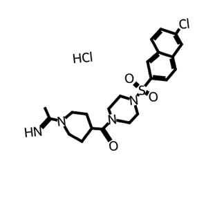 CC(=N)N1CCC(C(=O)N2CCN(S(=O)(=O)c3ccc4cc(Cl)ccc4c3)CC2)CC1.Cl